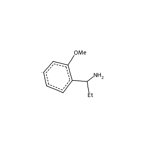 CCC(N)c1cc[c]cc1OC